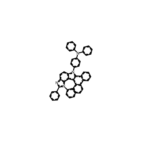 c1ccc(-c2nc3ccc4c(c5c6ccccc6c6ccccc6c5n4-c4ccc(N(c5ccccc5)c5ccccc5)cc4)c3n2-c2ccccc2)cc1